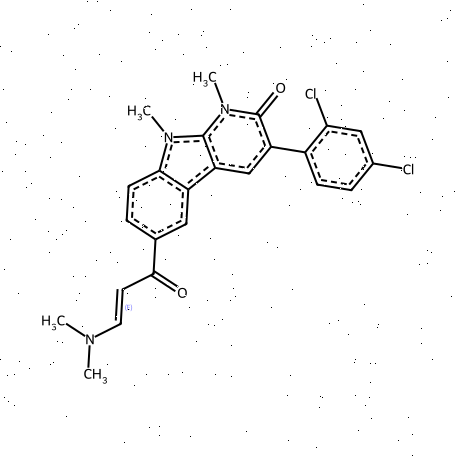 CN(C)/C=C/C(=O)c1ccc2c(c1)c1cc(-c3ccc(Cl)cc3Cl)c(=O)n(C)c1n2C